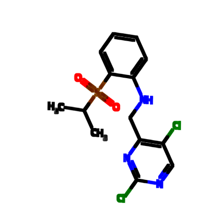 CC(C)S(=O)(=O)c1ccccc1NCc1nc(Cl)ncc1Cl